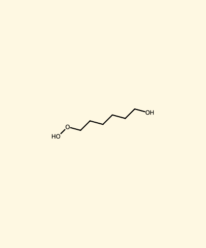 OCCCCCCOO